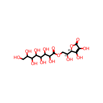 O=C1O[C@H]([C@@H](O)COC(=O)C(O)C(O)C(O)C(O)C(O)C(O)CO)C(O)=C1O